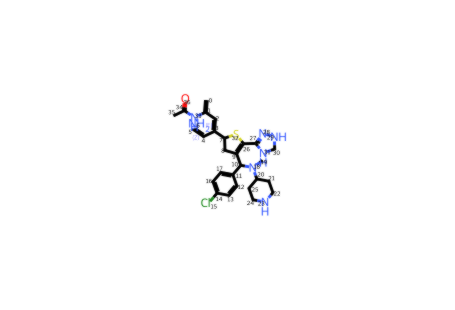 C=C(/C=C(\C=C/N)C1CC(C(c2ccc(Cl)cc2)N(C)C2CCNCC2)=C(C2=NNCN2)S1)NC(C)=O